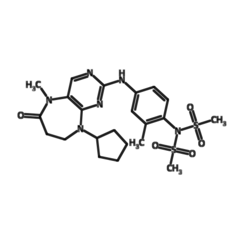 Cc1cc(Nc2ncc3c(n2)N(C2CCCC2)CCC(=O)N3C)ccc1N(S(C)(=O)=O)S(C)(=O)=O